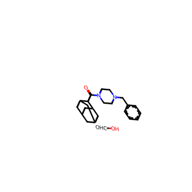 O=C(C1C2CC3CC(C2)CC1C3)N1CCN(Cc2ccccc2)CC1.O=CO